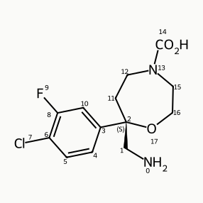 NC[C@@]1(c2ccc(Cl)c(F)c2)CCN(C(=O)O)CCO1